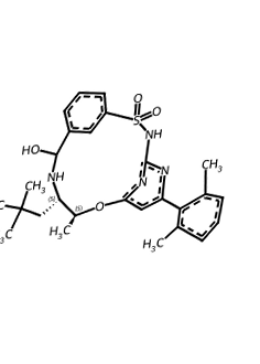 Cc1cccc(C)c1-c1cc2nc(n1)NS(=O)(=O)c1cccc(c1)C(O)N[C@@H](CC(C)(C)C)[C@H](C)O2